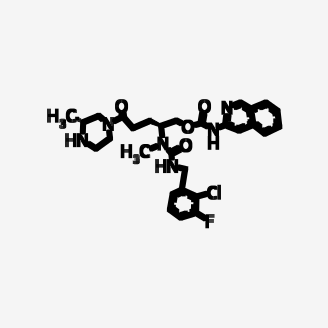 C[C@@H]1CN(C(=O)CC[C@@H](COC(=O)Nc2cc3ccccc3cn2)N(C)C(=O)NCc2cccc(F)c2Cl)CCN1